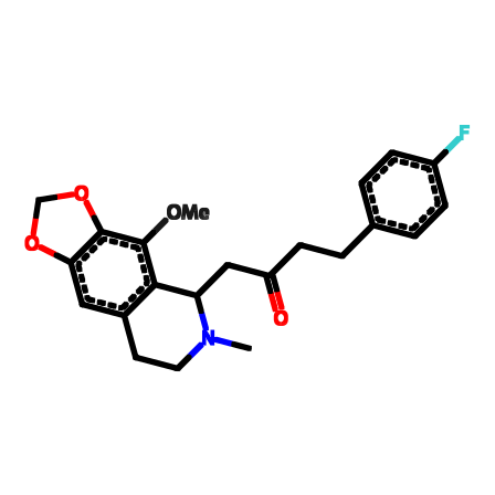 COc1c2c(cc3c1C(CC(=O)CCc1ccc(F)cc1)N(C)CC3)OCO2